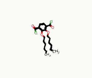 CCCCCCOc1c(C(=O)Cl)ccc(C(=O)Cl)c1OCCCCCC